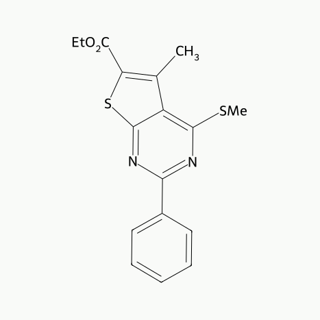 CCOC(=O)c1sc2nc(-c3ccccc3)nc(SC)c2c1C